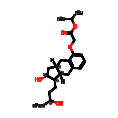 CCCCC[C@H](O)CC[C@@H]1[C@H]2Cc3cccc(OCC(=O)OC(CCCC)CCCC)c3C[C@H]2C[C@H]1O